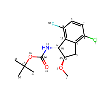 CO[C@@H]1Cc2c(Cl)ccc(F)c2[C@H]1NC(=O)OC(C)(C)C